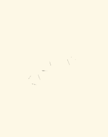 CCC(C)(C)C(=O)CCC(=O)/C(C)=C/c1ccccc1